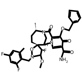 COC1[C@H](F)[C@]2(CC[C@H](C)N3C[C@H]2n2cc(C(N)=O)c(=O)c(OCc4ccccc4)c2C3=O)ON1Cc1c(C)cc(F)cc1F